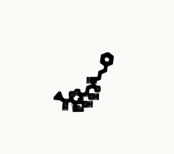 CC(C)(C)[C@@H](C(=O)NC1CC1)N(O)C(=O)[C@@H](O)CC(=O)NCCCc1ccccc1